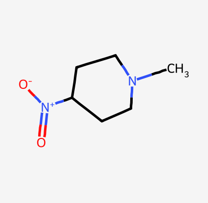 CN1CCC([N+](=O)[O-])CC1